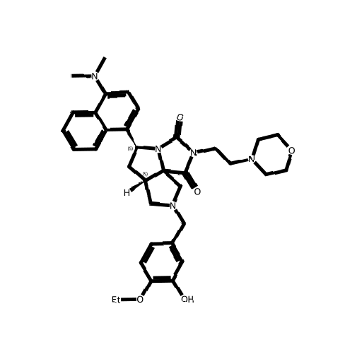 CCOc1ccc(CN2C[C@@H]3C[C@@H](c4ccc(N(C)C)c5ccccc45)N4C(=O)N(CCN5CCOCC5)C(=O)C34C2)cc1O